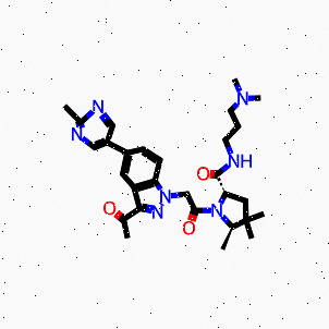 CC(=O)c1nn(CC(=O)N2[C@H](C(=O)NCCCN(C)C)CC(C)(C)[C@H]2C)c2ccc(-c3cnc(C)nc3)cc12